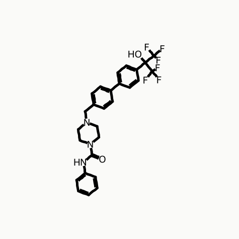 O=C(Nc1ccccc1)N1CCN(Cc2ccc(-c3ccc(C(O)(C(F)(F)F)C(F)(F)F)cc3)cc2)CC1